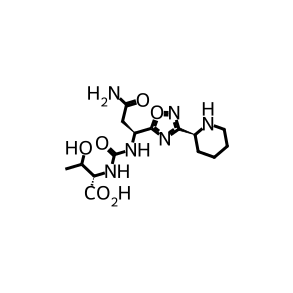 CC(O)[C@H](NC(=O)N[C@@H](CC(N)=O)c1nc([C@@H]2CCCCN2)no1)C(=O)O